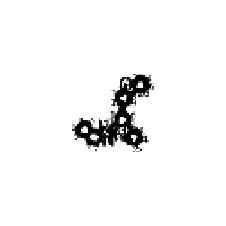 c1ccc2c(c1)ccc1nc3c(nc12)c1cc(-c2ccc4oc5ccccc5c4c2)cc2c4ccccc4n3c21